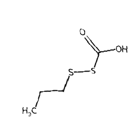 CCCSSC(=O)O